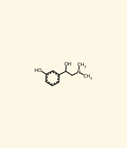 CN(C)CC(O)c1cccc(O)c1